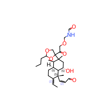 C/C=C1/CC[C@H]2C(C)C(C)(C3(C(=O)COCNC=O)COC(CCC)O3)C[C@H](O)C2[C@]1(C)/C=C\C=O